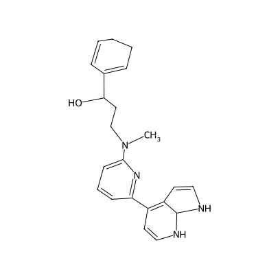 CN(CCC(O)C1=CCCC=C1)c1cccc(C2=C3C=CNC3NC=C2)n1